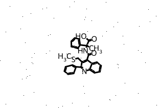 CSCc1c(-c2ccccc2)nc2ccccc2c1C(=O)NC(C)(C(=O)O)c1ccccc1